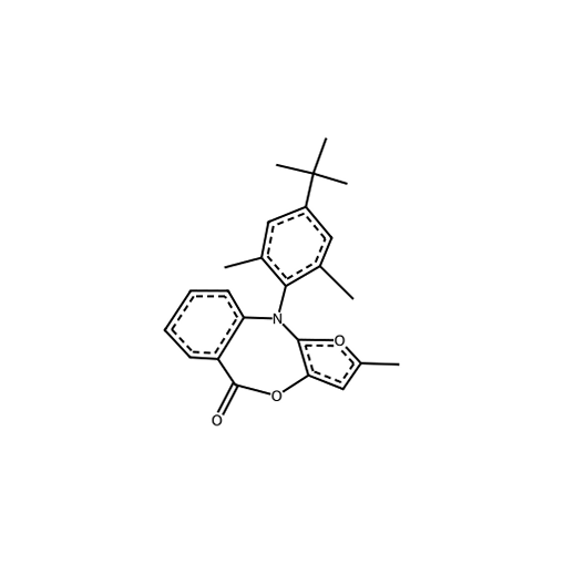 Cc1cc2c(o1)N(c1c(C)cc(C(C)(C)C)cc1C)c1ccccc1C(=O)O2